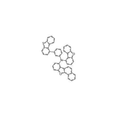 c1cc(-c2cccc3sc4ccccc4c23)cc(N(c2cccc3oc4ccccc4c23)c2cccc3oc4c5ccccc5ccc4c23)c1